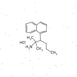 CCCC(c1cccc2ccccc12)C(C)(C)N.Cl